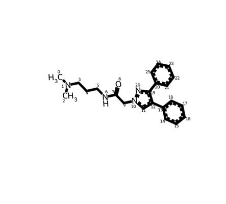 CN(C)CCCNC(=O)Cn1cc(-c2ccccc2)c(-c2ccccc2)n1